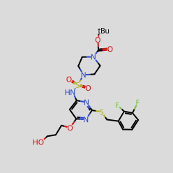 CC(C)(C)OC(=O)N1CCN(S(=O)(=O)Nc2cc(OCCCO)nc(SCc3cccc(F)c3F)n2)CC1